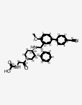 COc1ccc(-c2ccc(C#N)cc2)cc1CN[C@H]1CCN(C(=O)CNC(=O)O)C[C@H]1c1ccccc1